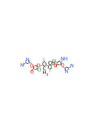 Cc1c(COc2cc(OCc3cncc(C#N)c3)c(C=N)cc2Cl)cc(F)cc1-c1cc(F)cc(COc2cc(OCc3cncc(C#N)c3)c(C=O)cc2Cl)c1C